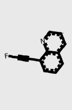 FC#Cc1cccc2c[c]cnc12